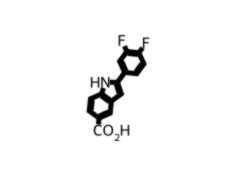 O=C(O)c1ccc2[nH]c(-c3ccc(F)c(F)c3)cc2c1